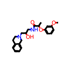 COc1cccc(OC(C)C(=O)NCC(O)CN2CCc3ccccc3C2)c1